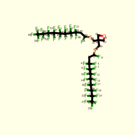 FC(CC(F)(F)C(F)(F)C(F)(F)C(F)(F)C(F)(F)C(F)(F)C(F)(F)C(F)(F)F)SCC1(CSC(F)CC(F)(F)C(F)(F)C(F)(F)C(F)(F)C(F)(F)C(F)(F)C(F)(F)C(F)(F)F)COC1